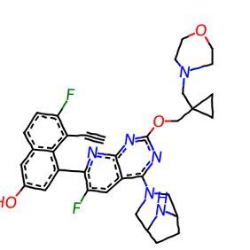 C#Cc1c(F)ccc2cc(O)cc(-c3nc4nc(OCC5(CN6CCOCC6)CC5)nc(N5CC6CCC(C5)N6)c4cc3F)c12